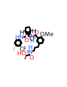 COc1ccc(CCCNC(=O)[C@@H](C)O)cc1C(=O)N[C@H]1[C@@H](C(=O)Nc2ccc(F)c(C(F)(F)F)c2)[C@H]2CC[C@@H]1/C2=C\C(F)(F)F